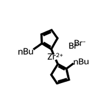 CCCCC1=[C]([Zr+2][C]2=C(CCCC)C=CC2)CC=C1.[Br-].[Br-]